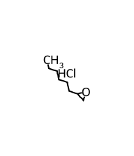 CCCCCCC1CO1.Cl